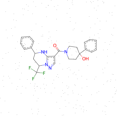 O=C(c1cnn2c1NC(c1ccccc1)CC2C(F)(F)F)N1CCC(O)(c2ccccc2)CC1